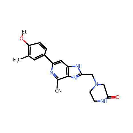 CCOc1ccc(-c2cc3[nH]c(CN4CCNC(=O)C4)nc3c(C#N)n2)cc1C(F)(F)F